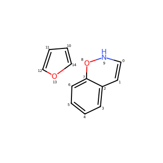 C1=Cc2ccccc2ON1.c1ccoc1